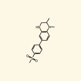 CC1CNc2cc(-c3ccc(S(C)(=O)=O)cc3)ccc2N1C